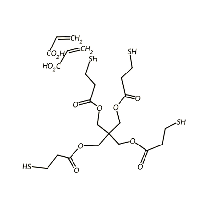 C=CC(=O)O.C=CC(=O)O.O=C(CCS)OCC(COC(=O)CCS)(COC(=O)CCS)COC(=O)CCS